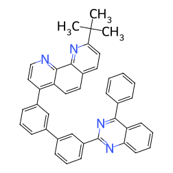 CC(C)(C)c1ccc2ccc3c(-c4cccc(-c5cccc(-c6nc(-c7ccccc7)c7ccccc7n6)c5)c4)ccnc3c2n1